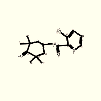 CC1(C)CC(NC(=O)c2ncccc2O)CC(C)(C)C1=O